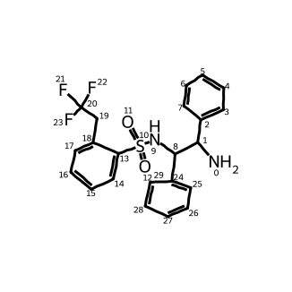 NC(c1ccccc1)C(NS(=O)(=O)c1ccccc1CC(F)(F)F)c1ccccc1